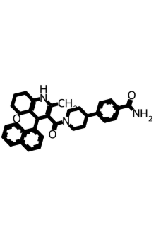 CC1=C(C(=O)N2CCC(c3ccc(C(N)=O)cc3)CC2)C(c2cccc3ccccc23)C2=C(CCCC2=O)N1